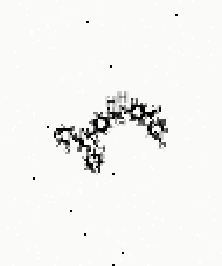 C[C@@H]1COCCN1c1cc(N2CCOC[C@H]2C)nc(-c2ccc(NC(=O)Nc3ccc(C(=O)N4CCN(C)CC4)cc3)cc2)n1